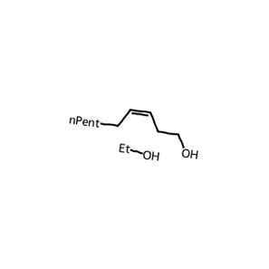 CCCCCC/C=C\CCO.CCO